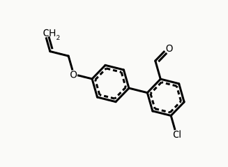 C=CCOc1ccc(-c2cc(Cl)ccc2C=O)cc1